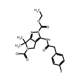 CCOC(=O)n1nc2c(c1NC(=O)Cc1ccc(F)cc1)CN(C(=O)Cl)C2(C)C